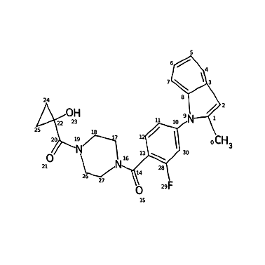 Cc1cc2ccccc2n1-c1ccc(C(=O)N2CCN(C(=O)C3(O)CC3)CC2)c(F)c1